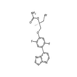 CC(C)C[C@@](C)(COc1cc(F)c(-c2ccnc3ccnn23)cc1F)OC(N)=O